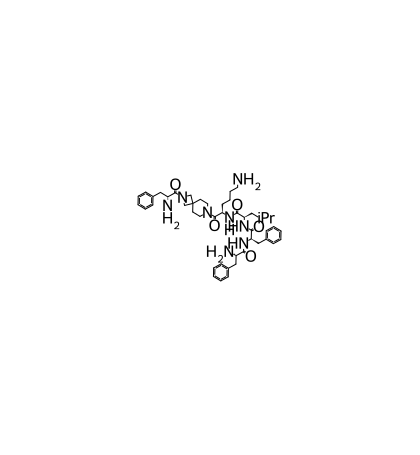 CC(C)C[C@@H](NC(=O)[C@@H](Cc1ccccc1)NC(=O)[C@H](N)Cc1ccccc1)C(=O)N[C@H](CCCCN)C(=O)N1CCC2(CC1)CN(C(=O)[C@H](N)Cc1ccccc1)C2